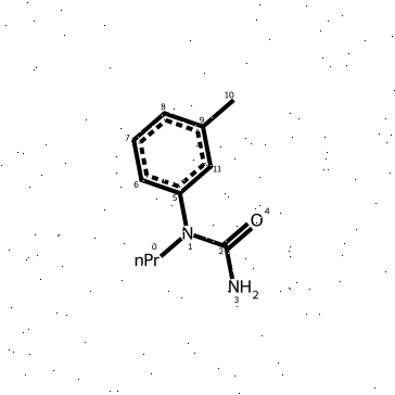 CCCN(C(N)=O)c1cccc(C)c1